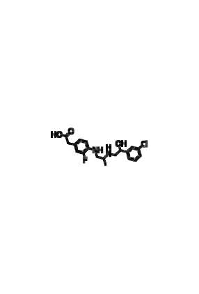 CC(CNc1ccc(CC(=O)O)cc1F)NCC(O)c1cccc(Cl)c1